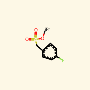 CC(C)OS(=O)(=O)Cc1ccc(F)cc1